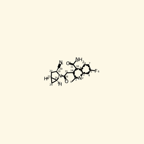 Cc1nc2cc(F)ccc2c(C(N)=O)c1CC(=O)N1[C@H](C#N)C[C@@H]2C[C@@H]21